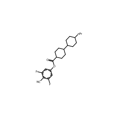 CCCC1CCC(C2CCC(C(=O)Oc3cc(F)c(C#N)c(F)c3)CC2)CC1